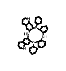 c1ccc(P2c3ccccc3Nc3ccccc3P(c3ccccc3)c3cc4ncccc4cc3Nc3cc4cccnc4cc32)cc1